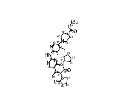 Cc1cc(Nc2ncc3c(C)c(N4CCCC4=O)c(=O)n(C4CCCC4)c3n2)ncc1N1CCN(C(=O)OC(C)(C)C)CC1